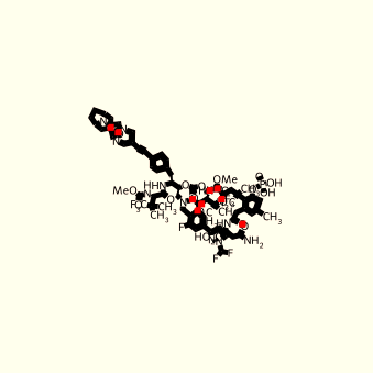 COC(=O)N[C@H](C(=O)N[C@@H](Cc1ccc(C#Cc2cnc(N3CC4CCC(C3)N4C3COC3)nc2)cc1)[C@H](CN(Cc1c(F)cc(-c2ccn(C(F)F)n2)cc1F)NC(=O)[C@@H](NC(=O)OC)C(C)(C)C(F)(F)F)OC(=O)OCOC(=O)CC(C)(C)c1c(CC(=O)N[C@@H](CC(N)=O)C(=O)O)cc(C)cc1OP(=O)(O)O)C(C)(C)C(F)(F)F